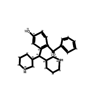 O=C(c1ccccc1)c1ccc(O)cc1C(C1CCCNC1)C1CCCNC1